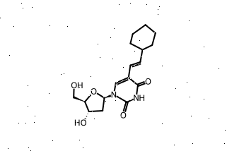 O=c1[nH]c(=O)n([C@H]2C[C@H](O)[C@@H](CO)O2)cc1C=CC1CCCCC1